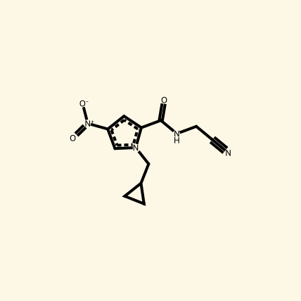 N#CCNC(=O)c1cc([N+](=O)[O-])cn1CC1CC1